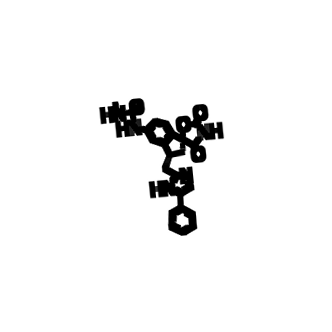 CNC(=O)Nc1ccc2c(c1)[C@H](Cc1ncc(-c3ccccc3)[nH]1)C[C@@]21OC(=O)NC1=O